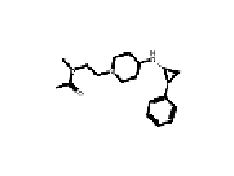 CC(=O)N(C)CCN1CCC(N[C@@H]2C[C@H]2c2ccccc2)CC1